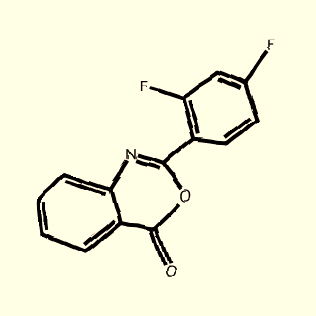 O=c1oc(-c2ccc(F)cc2F)nc2ccccc12